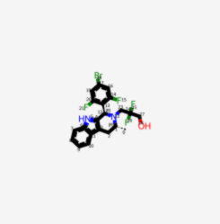 C[C@@H]1Cc2c([nH]c3ccccc23)[C@@H](c2c(F)cc(Br)cc2F)N1CC(F)(F)CO